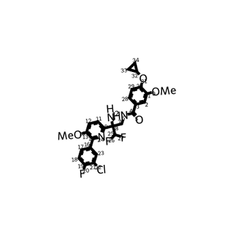 COc1cc(C(=O)NCC(N)(c2ccc(OC)c(-c3ccc(F)c(Cl)c3)n2)C(F)F)ccc1OC1CC1